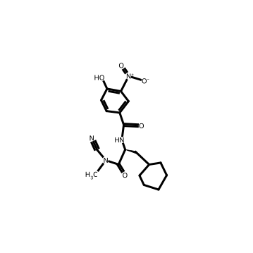 CN(C#N)C(=O)[C@H](CC1CCCCC1)NC(=O)c1ccc(O)c([N+](=O)[O-])c1